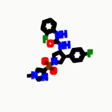 Cn1cnc(S(=O)(=O)N2C[C@H](NC(=O)Nc3ccccc3F)[C@@H](c3ccc(F)cc3)C2)c1